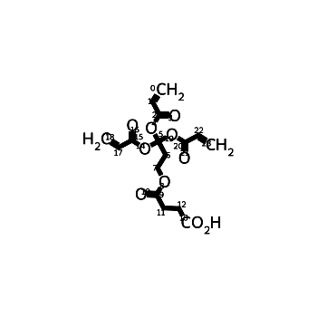 C=CC(=O)OC(CCOC(=O)CCC(=O)O)(OC(=O)C=C)OC(=O)C=C